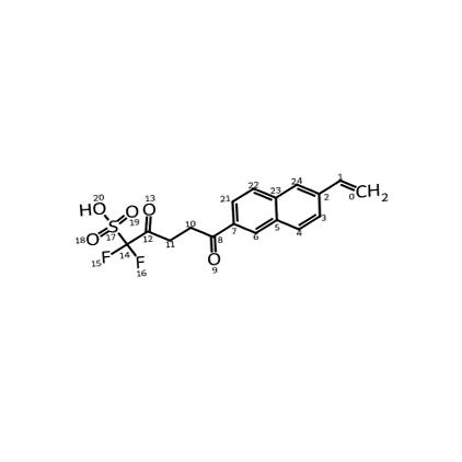 C=Cc1ccc2cc(C(=O)CCC(=O)C(F)(F)S(=O)(=O)O)ccc2c1